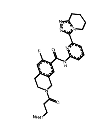 COCCC(=O)N1CCc2cc(F)c(C(=O)Nc3cccc(-c4nnc5n4CCCC5)n3)cc2C1